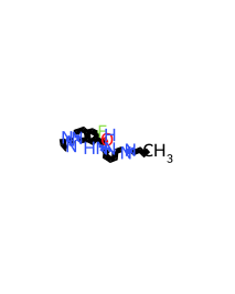 CCC/C=N/N=C/C1=CC=CC(NC(=O)c2cc3c(cc2F)CCN(c2ncccn2)C3)N1